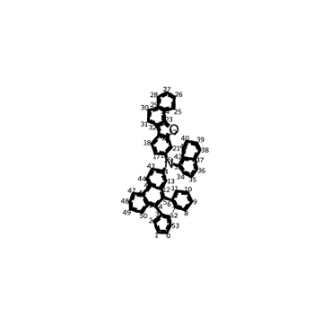 c1ccc(-c2c(-c3ccccc3)c3cc(N(c4ccc5c(c4)oc4c6ccccc6ccc54)c4cccc5ccccc45)ccc3c3ccccc23)cc1